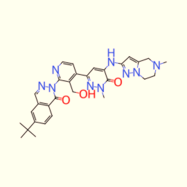 CN1CCn2nc(Nc3cc(-c4ccnc(-n5ncc6cc(C(C)(C)C)ccc6c5=O)c4CO)nn(C)c3=O)cc2C1